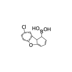 OB(O)C1C=CC=C2Oc3ccc(Cl)cc3C21